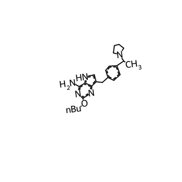 CCCCOc1nc(N)c2[nH]cc(Cc3ccc(C(C)N4CCCC4)cc3)c2n1